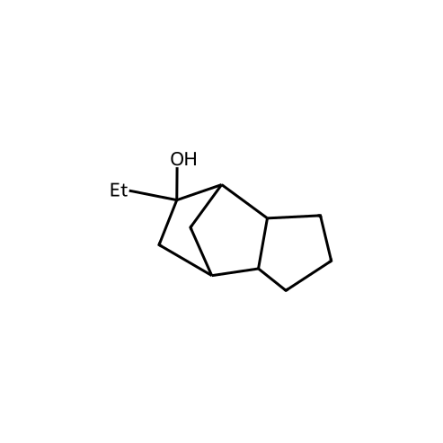 CCC1(O)CC2CC1C1CCCC21